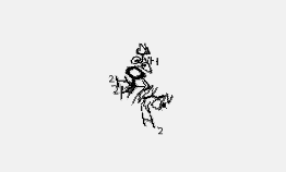 [2H]C([2H])([2H])c1ccc(S(=O)(=O)NC23CCN(CC2)C3)cc1-c1cnc(N)c(-c2cnco2)n1